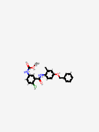 Cc1cc(OCc2ccccc2)ccc1NC(=O)c1cc(NC(=O)OC(C)(C)C)ccc1Cl